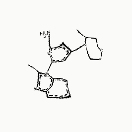 Cc1nc2ccccc2n1-c1cc(N2CCOCC2C)cc(N)n1